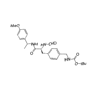 COc1ccc(C(C)NC(=O)[C@H](Cc2ccc(CNC(=O)OC(C)(C)C)cc2)NC=O)cc1